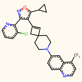 FC(F)(F)c1ccnc2ccc(N3CCC4(C=C(c5c(-c6ncccc6Cl)noc5C5CC5)C4)CC3)cc12